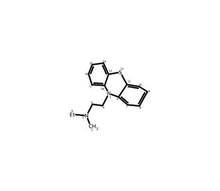 CCN(C)CCN1c2ccccc2Sc2ccccc21